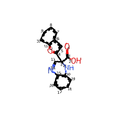 O=C(O)C1(c2cc3ccccc3o2)C=Nc2ccccc2N1